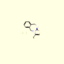 Cl.ClCC1=CSC2=NCc3ccccc3CN12